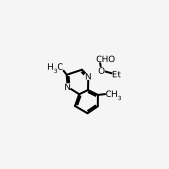 CCOC=O.Cc1cnc2c(C)cccc2n1